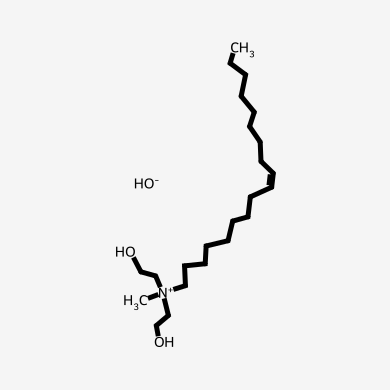 CCCCCCCC/C=C\CCCCCCCC[N+](C)(CCO)CCO.[OH-]